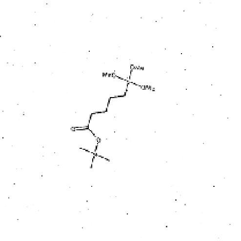 CO[Si](CCCCC(=O)O[Si](C)(C)C)(OC)OC